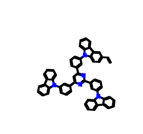 C=Cc1ccc2c(c1)c1ccccc1n2-c1cccc(-c2cc(-c3cccc(-n4c5ccccc5c5ccccc54)c3)nc(-c3cccc(-n4c5ccccc5c5ccccc54)c3)n2)c1